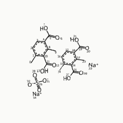 Cc1ccc(C(=O)O)c(C)c1C(=O)O.Cc1ccc(C(=O)O)c(C)c1C(=O)O.O=S(=O)([O-])[O-].[Na+].[Na+]